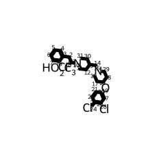 O=C(O)[C@H](Cc1ccccc1C(F)(F)F)N1CCC(CN2CCC(Oc3ccc(Cl)c(Cl)c3)CC2)CC1